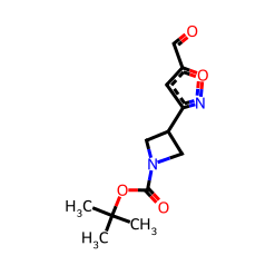 CC(C)(C)OC(=O)N1CC(c2cc(C=O)on2)C1